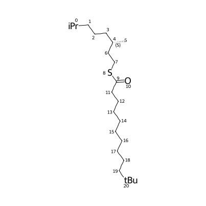 CC(C)CCC[C@H](C)CCSC(=O)CCCCCCCCCC(C)(C)C